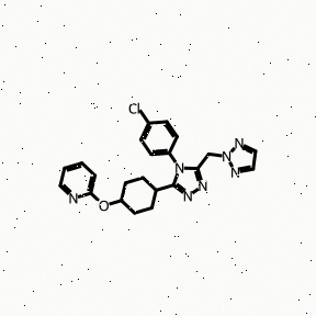 Clc1ccc(-n2c(Cn3nccn3)nnc2C2CCC(Oc3ccccn3)CC2)cc1